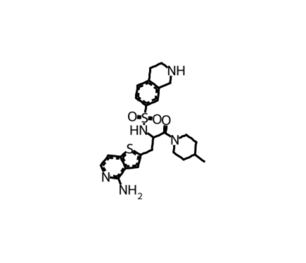 CC1CCN(C(=O)C(Cc2cc3c(N)nccc3s2)NS(=O)(=O)c2ccc3c(c2)CNCC3)CC1